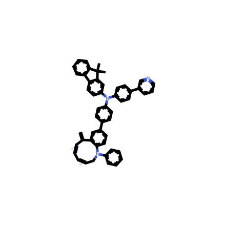 C=C1/C=C\C=C/CN(c2ccccc2)c2ccc(-c3ccc(N(c4ccc(-c5cccnc5)cc4)c4ccc5c(c4)C(C)(C)c4ccccc4-5)cc3)cc21